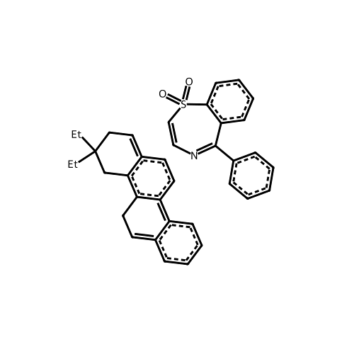 CCC1(CC)CC=c2ccc3c(c2C1)CC=c1ccccc1=3.O=S1(=O)C=CN=C(c2ccccc2)c2ccccc21